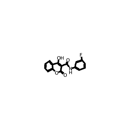 O=C(Nc1cccc(F)c1)c1c(O)c2ccccc2oc1=O